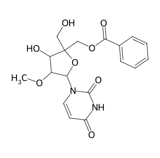 COC1C(n2ccc(=O)[nH]c2=O)OC(CO)(COC(=O)c2ccccc2)C1O